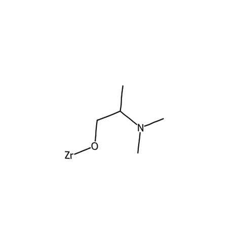 CC(C[O][Zr])N(C)C